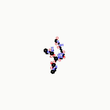 CNc1cc(OCc2cc(COc3cc4c(cc3OC)C(=O)N3c5ccccc5CC3C=N4)cc(NC(=O)C(C)NC(=O)C(C)NC(=O)CCCCC(=O)NCCN(C)C(=O)/C=C\C=O)c2)c(OC)cc1C(=O)N1CCc2ccccc21